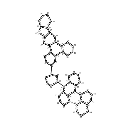 c1cc(-c2ccc3c(c2)c2ccccc2c2cc4c(cc32)sc2ccccc24)cc(-c2c3ccccc3c(-c3cccc4ccccc34)c3ccccc23)c1